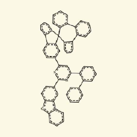 c1ccc(-c2ccccc2-c2cc(-c3ccc4c(c3)C3(c5ccccc5-c5ccccc5-c5ccccc53)c3ccccc3-4)nc(-c3ccc4oc5ccccc5c4c3)n2)cc1